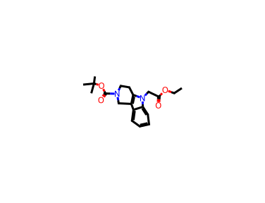 CCOC(=O)Cn1c2c(c3ccccc31)CN(C(=O)OC(C)(C)C)CC2